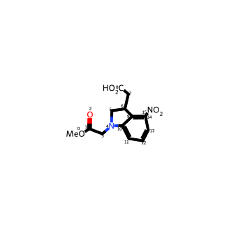 COC(=O)CN1CC(CC(=O)O)c2c1cccc2[N+](=O)[O-]